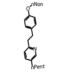 CCCCCCCCCOc1ccc(CCc2ccc(CCCCC)cn2)cc1